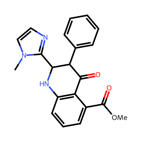 COC(=O)c1cccc2c1C(=O)C(c1ccccc1)C(c1nccn1C)N2